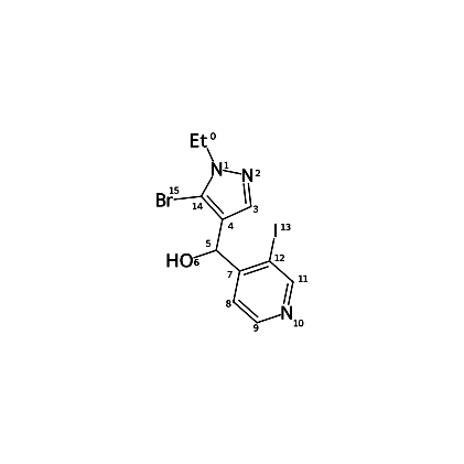 CCn1ncc(C(O)c2ccncc2I)c1Br